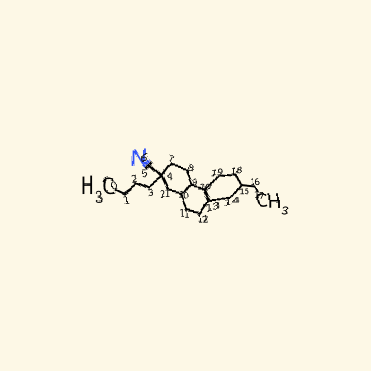 CCCCC1(C#N)CCC2C(CCC3CC(CC)CCC32)C1